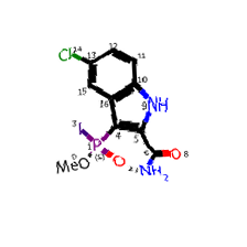 CO[P@](=O)(I)c1c(C(N)=O)[nH]c2ccc(Cl)cc12